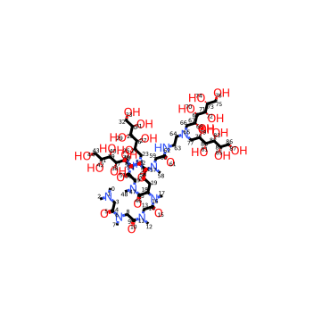 CN(C)CC(=O)N(C)CC(=O)N(C)CC(=O)N(C)C(CCCN(C[C@H](O)[C@@H](O)[C@H](O)[C@H](O)CO)C[C@H](O)[C@@H](O)[C@H](O)[C@H](O)CO)C(=O)N(C)CC(=O)N(C)CC(=O)N(C)CC(=O)NCCN(C[C@H](O)[C@@H](O)[C@H](O)[C@H](O)CO)C[C@H](O)[C@@H](O)[C@H](O)[C@H](O)CO